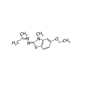 CCOc1ccc2sc(=NN=C(C)C)n(C)c2c1